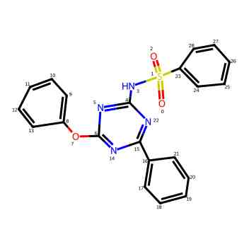 O=S(=O)(Nc1nc(Oc2ccccc2)nc(-c2ccccc2)n1)c1ccccc1